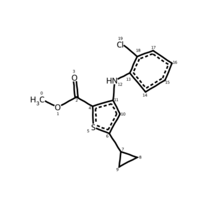 COC(=O)c1sc(C2CC2)cc1Nc1ccccc1Cl